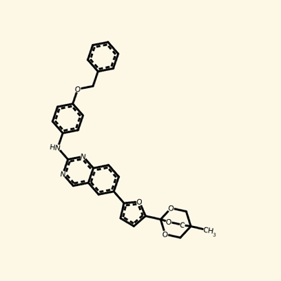 CC12COC(c3ccc(-c4ccc5nc(Nc6ccc(OCc7ccccc7)cc6)ncc5c4)o3)(OC1)OC2